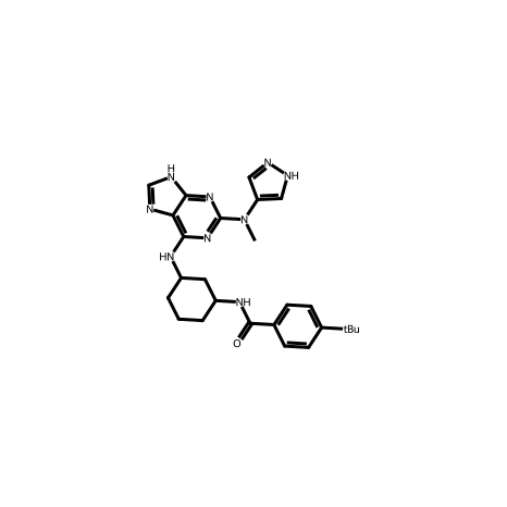 CN(c1cn[nH]c1)c1nc(NC2CCCC(NC(=O)c3ccc(C(C)(C)C)cc3)C2)c2nc[nH]c2n1